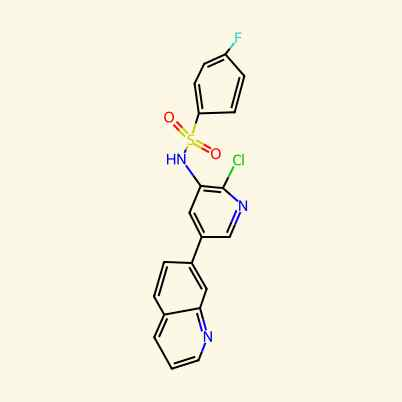 O=S(=O)(Nc1cc(-c2ccc3cccnc3c2)cnc1Cl)c1ccc(F)cc1